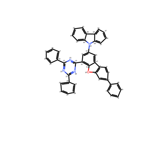 c1ccc(-c2ccc3c(c2)oc2c(-c4nc(-c5ccccc5)nc(-c5ccccc5)n4)cc(-n4c5ccccc5c5ccccc54)cc23)cc1